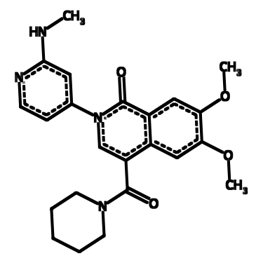 CNc1cc(-n2cc(C(=O)N3CCCCC3)c3cc(OC)c(OC)cc3c2=O)ccn1